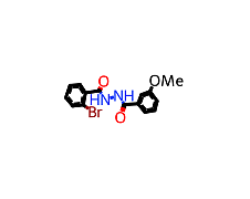 COc1cccc(C(=O)NNC(=O)c2ccccc2Br)c1